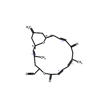 C=C1C[C@H]2C/C=C/C(=O)C/C(C)=C\C=C\C(=O)OC(C=O)C/C(C)=C/[C@@H](C1)O2